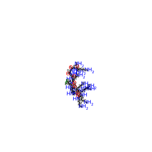 C[C@H](NC(=O)[C@H](CCN)NC(=O)[C@@H](N)CCCCN)C(=O)NCC(=O)N[C@H](CCCN)C(=O)N1CC(F)(F)C[C@H]1C(=O)N[C@@H](Cc1cnc[nH]1)C(=O)N[C@@H](CCCCN)C(=O)N/C(=C\CCNC(=N)N)C(=O)N[C@@H](CCCCN)C(=O)NCCCCN